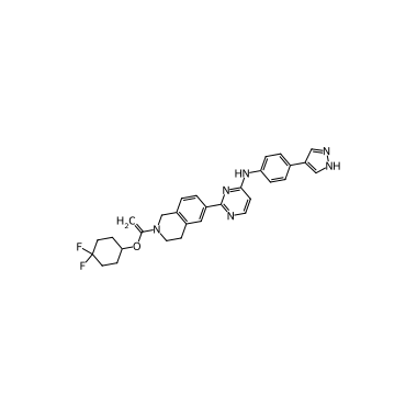 C=C(OC1CCC(F)(F)CC1)N1CCc2cc(-c3nccc(Nc4ccc(-c5cn[nH]c5)cc4)n3)ccc2C1